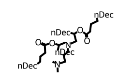 CCCCCCCCCCCCCC(=O)OC(CCCCCCCCCC)CN(CCCN(C)C)CC(CCCCCCCCCC)OC(=O)CCCCCCCCCCCCC